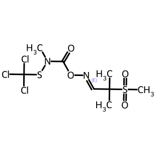 CN(SC(Cl)(Cl)Cl)C(=O)O/N=C/C(C)(C)S(C)(=O)=O